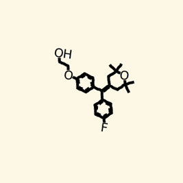 CC1(C)CC(=C(c2ccc(F)cc2)c2ccc(OCCO)cc2)CC(C)(C)O1